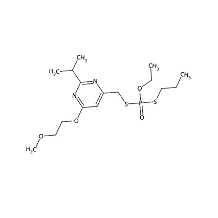 CCCSP(=O)(OCC)SCc1cc(OCCOC)nc(C(C)C)n1